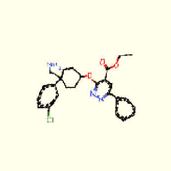 CCOC(=O)c1cc(-c2ccccc2)nnc1OC1CCC(CN)(c2cccc(Cl)c2)CC1